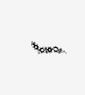 CS(=O)(=O)N1CCCN(c2ccc(S(=O)(=O)N3CCC(Nc4ccc(C(F)(F)F)cn4)CC3)cc2)CC1